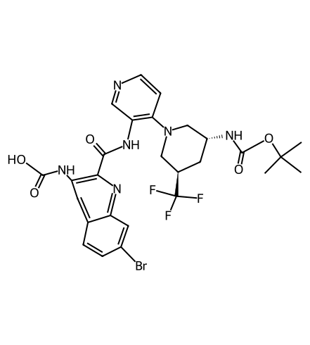 CC(C)(C)OC(=O)N[C@@H]1C[C@@H](C(F)(F)F)CN(c2ccncc2NC(=O)c2nc3cc(Br)ccc3cc2NC(=O)O)C1